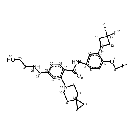 O=C(Nc1ccc(OCF)c(N2CC(F)(F)C2)c1)c1ccc(SNCCO)cc1N1CCC2(CC1)CC2